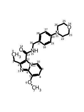 CCc1nc2c(OC)cccn2c1C(=O)NCc1ccc(N2CCOCC2)cc1